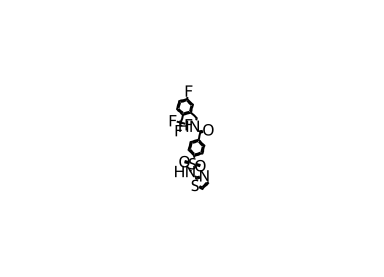 O=C(NCc1cc(F)ccc1C(F)(F)F)c1ccc(S(=O)(=O)Nc2nccs2)cc1